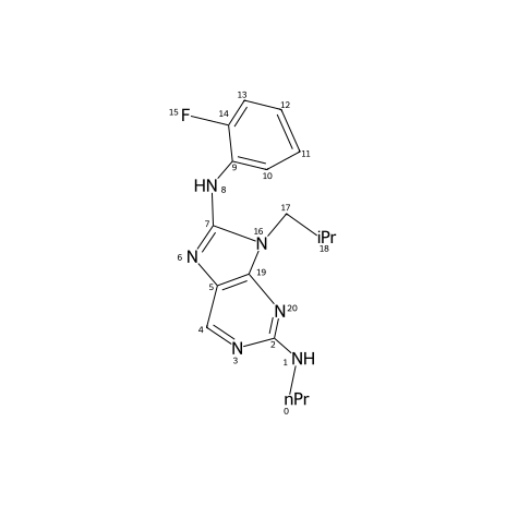 CCCNc1ncc2nc(Nc3ccccc3F)n(CC(C)C)c2n1